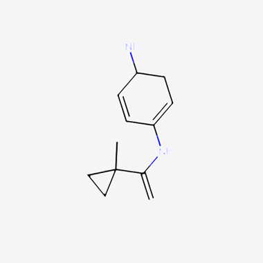 C=C(NC1=CCC(N)C=C1)C1(C)CC1